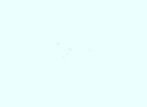 CC(C)(C)C1=CC(F)(c2ccc(F)nc2)[N]([Ir][N]2C=CC(C(C)(C)C)=CC2(F)c2ccc(F)nc2)C=C1